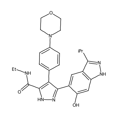 CCNC(=O)c1[nH]nc(-c2cc3c(C(C)C)n[nH]c3cc2O)c1-c1ccc(N2CCOCC2)cc1